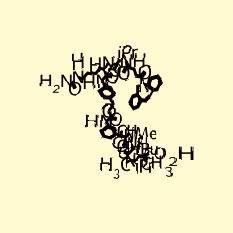 CNC(C(=O)N[C@H](C(=O)N(C)[C@H](/C=C(\C)C(=O)O)C(C)C)C(C)(C)C)C(C)(C)c1cccc(NC(=O)OCc2ccc(NC(=O)C(CCCCNC(N)=O)NC(=O)[C@@H](NC(=O)CCC(=O)N3Cc4ccccc4/C=C\c4ccccc43)C(C)C)cc2)c1